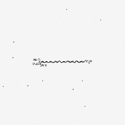 CO[Si](CCCCCCCCCCCCCCCCCCCCC(=O)O)(OC)OC